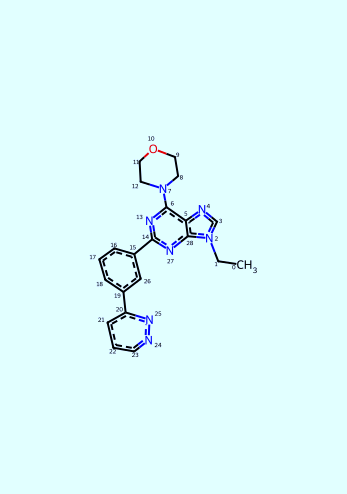 CCn1cnc2c(N3CCOCC3)nc(-c3cccc(-c4cccnn4)c3)nc21